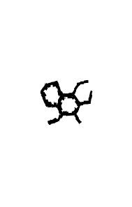 C=Cc1c(C)c(CC)c(CC)c2ccccc12